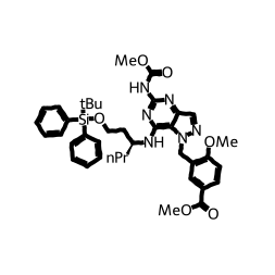 CCC[C@@H](CCO[Si](c1ccccc1)(c1ccccc1)C(C)(C)C)Nc1nc(NC(=O)OC)nc2cnn(Cc3cc(C(=O)OC)ccc3OC)c12